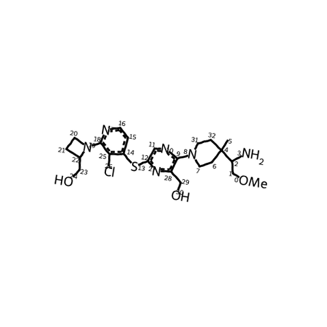 COCC(N)C1(C)CCN(c2ncc(Sc3ccnc(N4CCC4CO)c3Cl)nc2CO)CC1